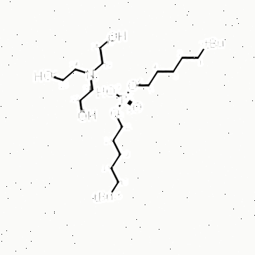 CC(C)(C)CCCCCOP(=O)(O)OCCCCCC(C)(C)C.OCCN(CCO)CCO